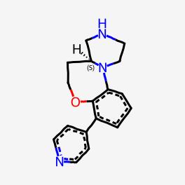 c1cc(-c2ccncc2)c2c(c1)N1CCNC[C@@H]1CCO2